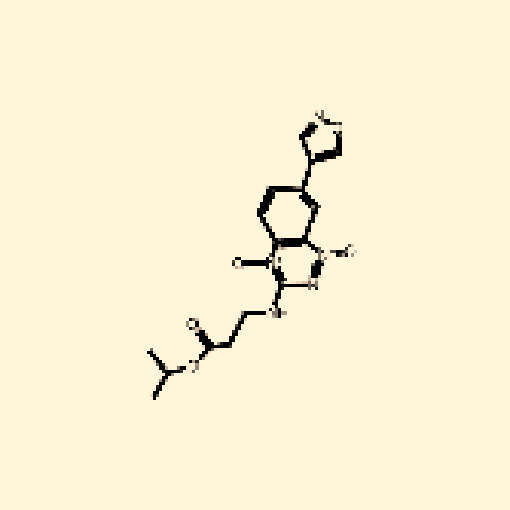 CC(C)OC(=O)CCNc1n[n+]([O-])c2cc(-c3cnoc3)ccc2[n+]1[O-]